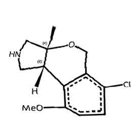 COc1ccc(Cl)c2c1[C@@H]1CNC[C@]1(C)OC2